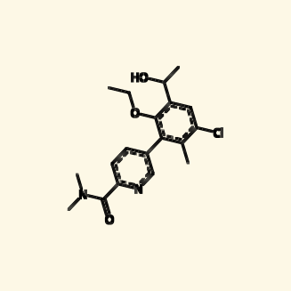 CCOc1c(C(C)O)cc(Cl)c(C)c1-c1ccc(C(=O)N(C)C)nc1